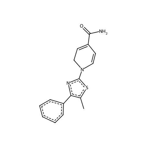 Cc1sc(N2C=CC(C(N)=O)=CC2)nc1-c1ccccc1